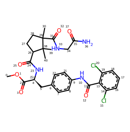 COC(=O)[C@H](Cc1ccc(NC(=O)c2c(Cl)cccc2Cl)cc1)NC(=O)C1CCC(C)(C(=O)NCC(N)=O)C1(C)C